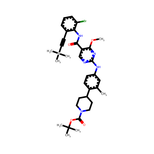 COc1nc(Nc2ccc(C3CCN(C(=O)OC(C)(C)C)CC3)c(C)c2)ncc1C(=O)Nc1c(Br)cccc1C#C[Si](C)(C)C